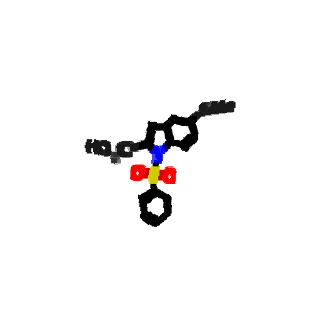 CSc1ccc2c(c1)cc(C(=O)O)n2S(=O)(=O)c1ccccc1